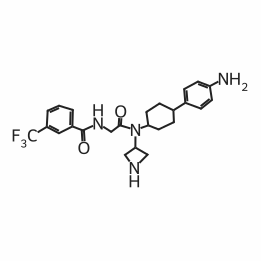 Nc1ccc(C2CCC(N(C(=O)CNC(=O)c3cccc(C(F)(F)F)c3)C3CNC3)CC2)cc1